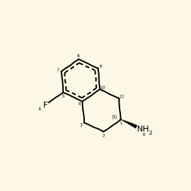 N[C@H]1CCc2c(F)cccc2C1